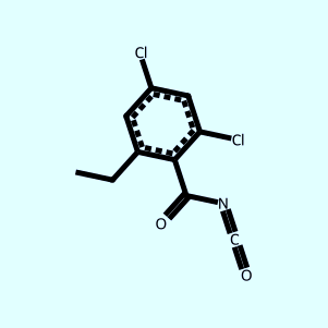 CCc1cc(Cl)cc(Cl)c1C(=O)N=C=O